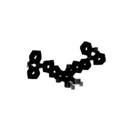 Cc1c(C)c2c3cc4ccc(N5c6ccccc6Sc6ccccc65)cc4cc3oc2c2c1oc1cc3cc(N4c5ccccc5Sc5ccccc54)ccc3cc12